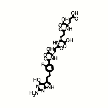 Nc1nc(O)c2c(CCc3ccc(C(=O)N[C@@H](CCC(=O)N[C@@H](CCC(=O)N[C@@H](CCC(=O)O)C(=O)O)C(=O)O)C(=O)O)c(F)c3)c[nH]c2n1